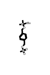 CC(C)(C)[Si](C)(C)OCc1ccc(COS(C)(=O)=O)cc1